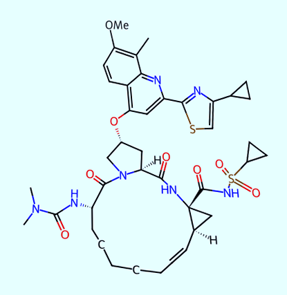 COc1ccc2c(O[C@@H]3C[C@H]4C(=O)N[C@]5(C(=O)NS(=O)(=O)C6CC6)C[C@H]5/C=C\CCCCC[C@H](NC(=O)N(C)C)C(=O)N4C3)cc(-c3nc(C4CC4)cs3)nc2c1C